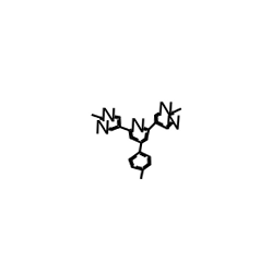 Cc1ccc(-c2cc(-c3cnc(C)nc3)nc(-c3cnc(C)nc3)c2)cc1